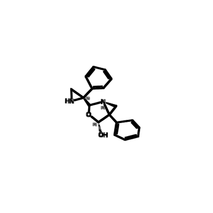 O[C@@H]1OC([C@]2(c3ccccc3)CN2)[N@@]2CC12c1ccccc1